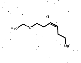 COCOCC/C=C\C[CH2][Mg+].[Cl-]